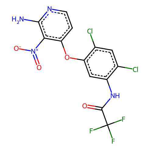 Nc1nccc(Oc2cc(NC(=O)C(F)(F)F)c(Cl)cc2Cl)c1[N+](=O)[O-]